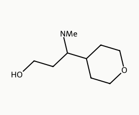 CNC(CCO)C1CCOCC1